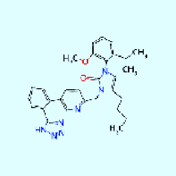 CCCCc1cn(-c2c(OC)cccc2C(C)C)c(=O)n1Cc1ccc(-c2ccccc2-c2nnn[nH]2)cn1